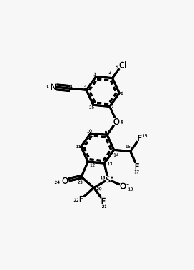 N#Cc1cc(Cl)cc(Oc2ccc3c(c2C(F)F)[S+]([O-])C(F)(F)C3=O)c1